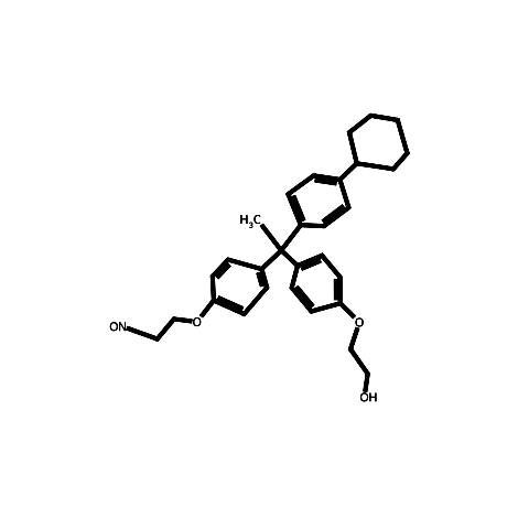 CC(c1ccc(OCCO)cc1)(c1ccc(OCCN=O)cc1)c1ccc(C2CCCCC2)cc1